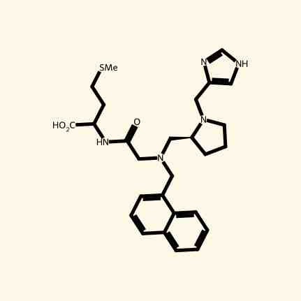 CSCCC(NC(=O)CN(Cc1cccc2ccccc12)C[C@@H]1CCCN1Cc1c[nH]cn1)C(=O)O